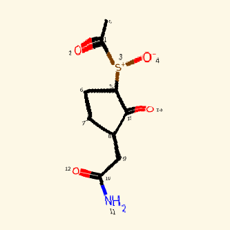 CC(=O)[S+]([O-])C1CCC(CC(N)=O)C1=O